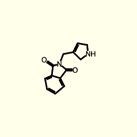 O=C1c2ccccc2C(=O)N1CC1=CCNC1